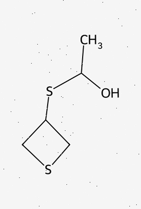 CC(O)SC1CSC1